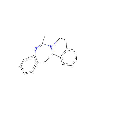 CC1=Nc2ccccc2CC2c3ccccc3CCN12